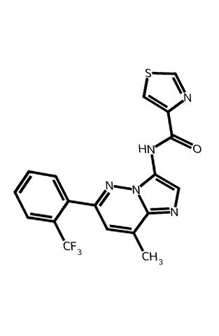 Cc1cc(-c2ccccc2C(F)(F)F)nn2c(NC(=O)c3cscn3)cnc12